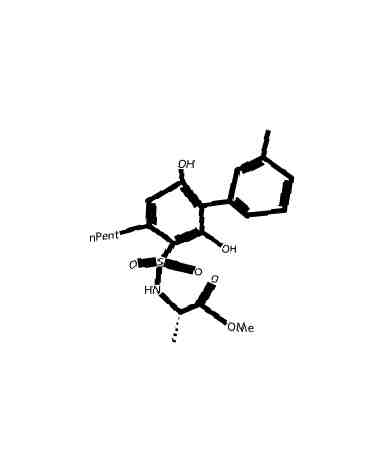 CCCCCc1cc(O)c(-c2cccc(C)c2)c(O)c1S(=O)(=O)N[C@@H](C)C(=O)OC